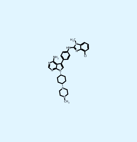 CN1CCN([C@H]2CC[C@@H](n3cc(-c4ccc(Nc5nc6c(Cl)cccc6n5C)cc4)c4c(N)ncnc43)CC2)CC1